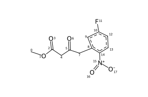 COC(=O)CC(=O)Cc1cc(F)ccc1[N+](=O)[O-]